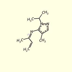 C=C/C(C)=N\c1c(C)cnn1C(C)C